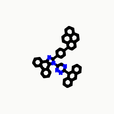 c1ccc2c(-c3ncc(-n4c(-c5ccc(-c6ccc7ccc8cccc9ccc6c7c89)cc5)nc5c6ccccc6c6ccccc6c54)nn3)c3ccccc3cc2c1